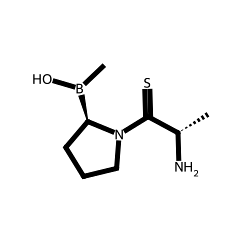 CB(O)[C@@H]1CCCN1C(=S)[C@H](C)N